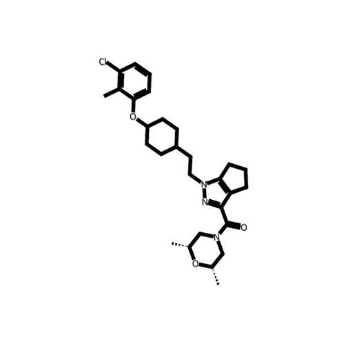 Cc1c(Cl)cccc1OC1CCC(CCn2nc(C(=O)N3C[C@@H](C)O[C@@H](C)C3)c3c2CCC3)CC1